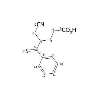 N#CCC(CCC(=O)O)C(=S)c1ccccc1